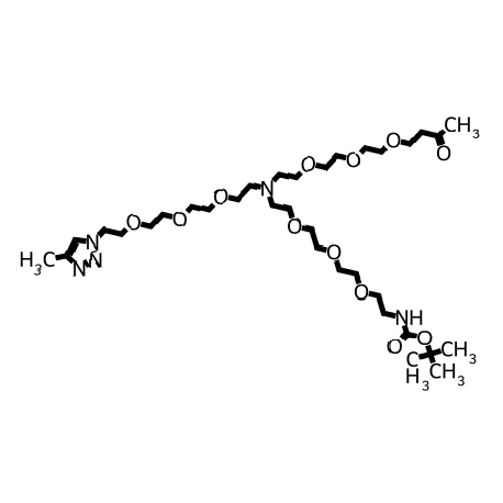 CC(=O)CCOCCOCCOCCN(CCOCCOCCOCCNC(=O)OC(C)(C)C)CCOCCOCCOCCn1cc(C)nn1